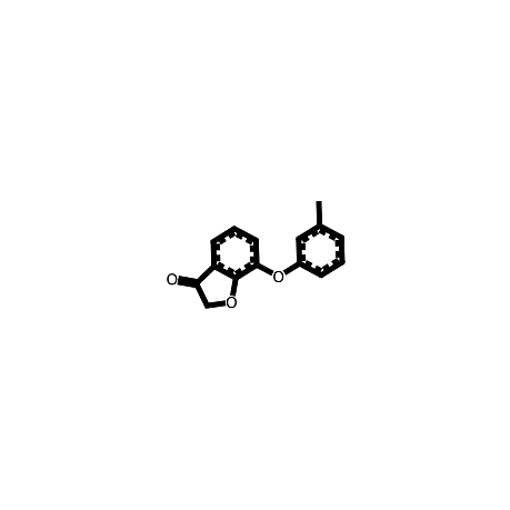 Cc1cccc(Oc2cccc3c2OCC3=O)c1